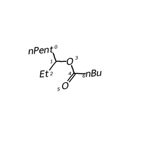 CCCCCC(CC)OC(=O)CCCC